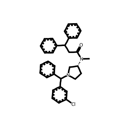 CN(C(=O)CC(c1ccccc1)c1ccccc1)[C@@H]1CCN(C(c2ccccc2)c2cccc(Cl)c2)C1